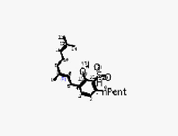 CCCCCc1ccc(C/C=C(\C)CCC=C(C)C)c(OI)c1[SH](=O)=O